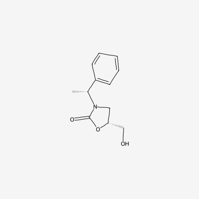 C[C@H](c1ccccc1)N1C[C@H](CO)OC1=O